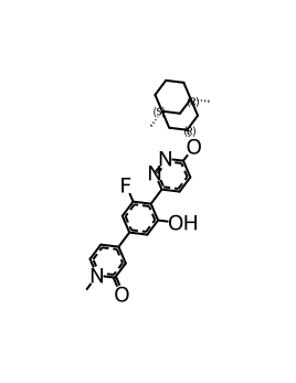 Cn1ccc(-c2cc(O)c(-c3ccc(O[C@H]4C[C@]5(C)CCC[C@](C)(C4)C5)nn3)c(F)c2)cc1=O